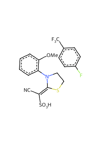 COc1ccccc1N1CCS/C1=C(/C#N)S(=O)(=O)O.Fc1ccc(C(F)(F)F)cc1